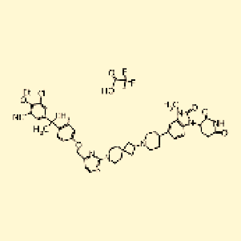 CCOc1c(Cl)cc(C(C)(C)c2ccc(OCc3ccnc(N4CCC5(CC4)CC(N4CCC(c6ccc7c(c6)n(C)c(=O)n7C6CCC(=O)NC6=O)CC4)C5)n3)cc2)cc1C#N.O=C(O)C(F)(F)F